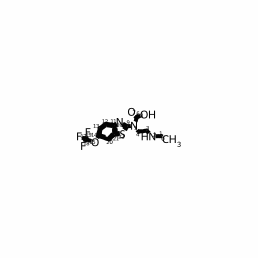 CCNCCN(C(=O)O)c1nc2ccc(OC(F)(F)F)cc2s1